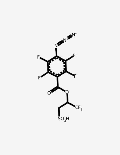 [N-]=[N+]=Nc1c(F)c(F)c(C(=O)OC(CS(=O)(=O)O)C(F)(F)F)c(F)c1F